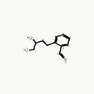 CCC(C)CCc1ccccc1C=O